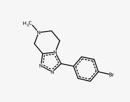 CN1CCn2c(nnc2-c2ccc(Br)cc2)C1